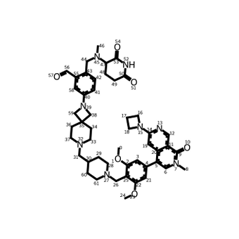 COc1cc(-c2cn(C)c(=O)c3cnc(N4CCC4)cc23)cc(OC)c1CN1CCC(CN2CCC3(CC2)CN(c2ccc(CN(C)C4CCC(=O)NC4=O)c(C=O)c2)C3)CC1